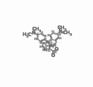 CN(C)c1ccc(C2(c3ccc(N(C)C)cc3)C3c4cnc5c(n4)C32OC5=O)cc1